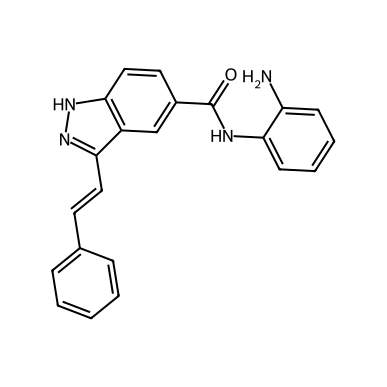 Nc1ccccc1NC(=O)c1ccc2[nH]nc(/C=C/c3ccccc3)c2c1